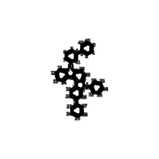 c1ccc(-c2cccc(-n3c4ccccc4c4c5c6ccc(-c7ccccc7)cc6n(-c6ccccc6)c5ccc43)c2)cc1